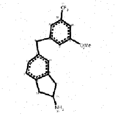 COc1cc(Cc2ccc3c(c2)C[C@@H](N)C3)cc(C(F)(F)F)c1